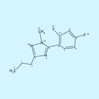 CCCc1nc(-c2ccc(F)cc2F)n(C)n1